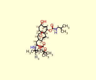 CC(C)CNC(=O)OC1/C=C/C(O)CCC(O/C2=C\CCCCC(CC(=O)NC(C)(C)C)C2OC(=O)OC(C)(C)C)C1